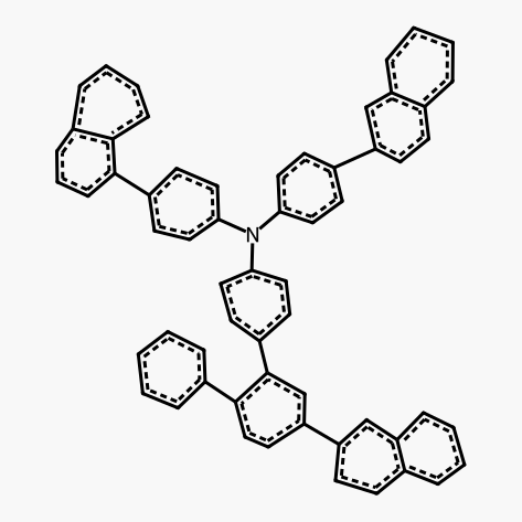 c1ccc(-c2ccc(-c3ccc4ccccc4c3)cc2-c2ccc(N(c3ccc(-c4ccc5ccccc5c4)cc3)c3ccc(-c4cccc5ccccc45)cc3)cc2)cc1